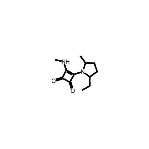 CCC1CCC(C)N1c1c(NC)c(=O)c1=O